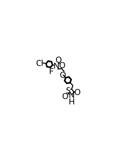 O=C1NC(=O)C(Cc2ccc(OCC3CN(c4ccc(Cl)cc4F)C(=O)O3)cc2)S1